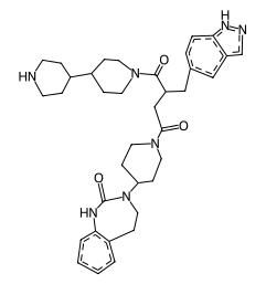 O=C(CC(Cc1ccc2[nH]ncc2c1)C(=O)N1CCC(C2CCNCC2)CC1)N1CCC(N2CCc3ccccc3NC2=O)CC1